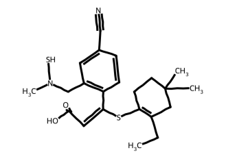 CCC1=C(S/C(=C/C(=O)O)c2ccc(C#N)cc2CN(C)S)CCC(C)(C)C1